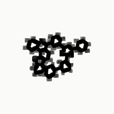 c1ccc(-c2cccc(-c3nc(-c4ccccc4)cc(-c4cccc(-c5nc6ccccc6c6c5ccc5c7ccccc7oc56)c4)n3)c2)cc1